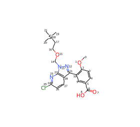 COc1ccc(C(=O)O)cc1-c1nn(COCC[Si](C)(C)C)c2nc(Cl)ccc12